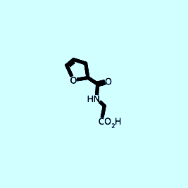 O=C(O)CNC(=O)C1CC=CO1